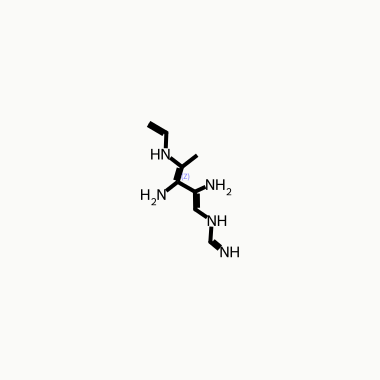 C=CN/C(C)=C(\N)C(N)=CNC=N